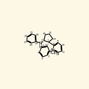 Cc1ccccc1[C@@]1(c2ccccn2)CCC[C@H]1Nc1ccccc1